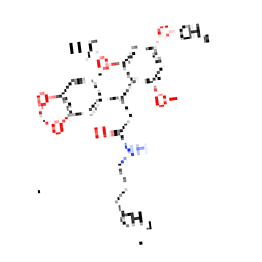 CCCCNC(=O)CC(c1ccc2c(c1)OCO2)c1c(O)cc(OC)cc1OC